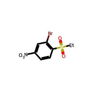 CCS(=O)(=O)c1ccc([N+](=O)[O-])cc1Br